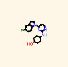 OC1CCC(Nc2nccc(-n3ccc4cc(F)ccc43)n2)CC1